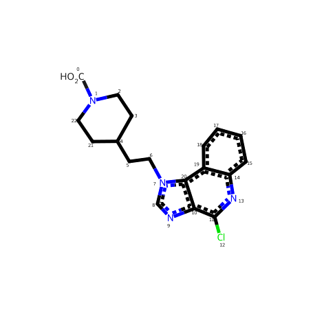 O=C(O)N1CCC(CCn2cnc3c(Cl)nc4ccccc4c32)CC1